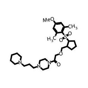 COc1cc(C)c(S(=O)(=O)C2CCCC2COCC(=O)N2CCN(CCCN3CCCCC3)CC2)c(C)c1